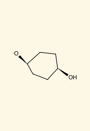 [O][C@H]1CC[C@@H](O)CC1